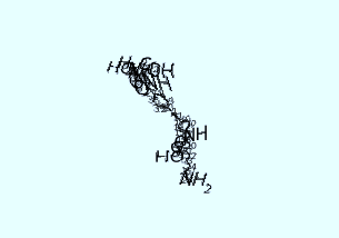 C[C@@H](O)[C@H](NC(=O)c1ccc(C#Cc2ccc(NC(=O)C[C@@H](CCCCN)C(=O)O)cc2)cc1)C(=O)NO